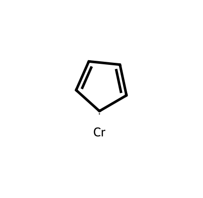 [CH]1C=CC=C1.[Cr]